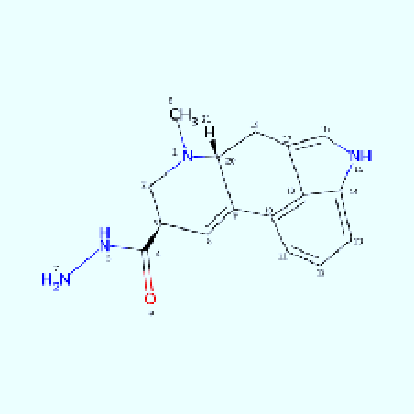 CN1C[C@H](C(=O)NN)C=C2c3cccc4[nH]cc(c34)C[C@H]21